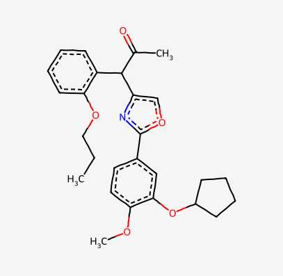 CCCOc1ccccc1C(C(C)=O)c1coc(-c2ccc(OC)c(OC3CCCC3)c2)n1